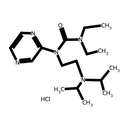 CCN(CC)C(=O)N(CCN(C(C)C)C(C)C)c1cnccn1.Cl